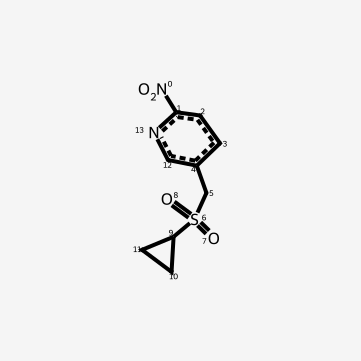 O=[N+]([O-])c1ccc(CS(=O)(=O)C2CC2)cn1